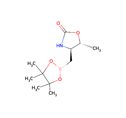 C[C@H]1OC(=O)N[C@@H]1CB1OC(C)(C)C(C)(C)O1